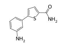 NC(=O)c1ccc(-c2cccc(N)c2)s1